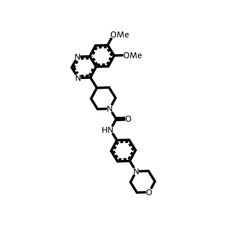 COc1cc2ncnc(C3CCN(C(=O)Nc4ccc(N5CCOCC5)cc4)CC3)c2cc1OC